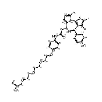 Cc1sc2c(c1C)C(c1ccc(Cl)cc1)=NC(CC(=O)Nc1ccc(OCCOCCOCCOCC(=O)O)cc1)c1nnc(C)n1-2